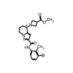 COC(=O)C1CN([C@@H]2CCCn3nc(C(=O)Nc4cccc(Br)c4C)cc32)C1